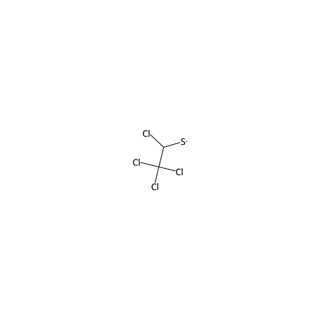 [S]C(Cl)C(Cl)(Cl)Cl